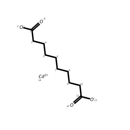 O=C([O-])CCCCCCCCC(=O)[O-].[Cd+2]